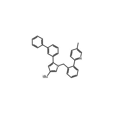 Cc1ccc(-c2ccccc2Cn2cc(C(C)(C)C)cc2-c2cccc(-c3ccccc3)c2)nc1